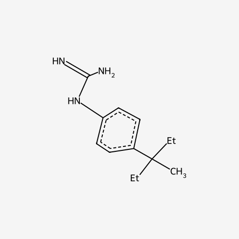 CCC(C)(CC)c1ccc(NC(=N)N)cc1